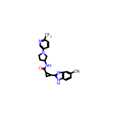 N#Cc1ccc2[nH]c(C3CC3C(=O)NC3CCN(c4ccc(C(F)(F)F)nc4)C3)nc2c1